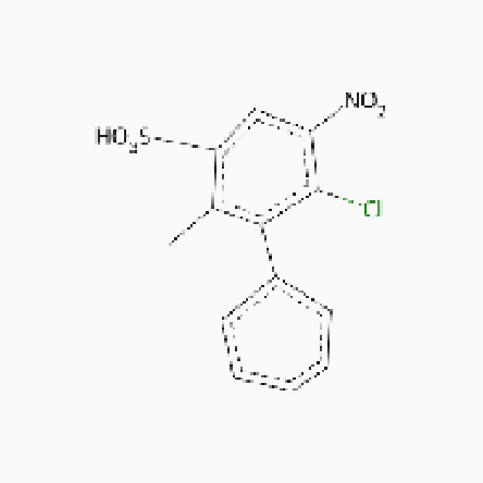 Cc1c(S(=O)(=O)O)cc([N+](=O)[O-])c(Cl)c1-c1ccccc1